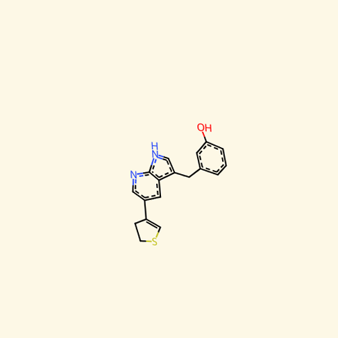 Oc1cccc(Cc2c[nH]c3ncc(C4=CSCC4)cc23)c1